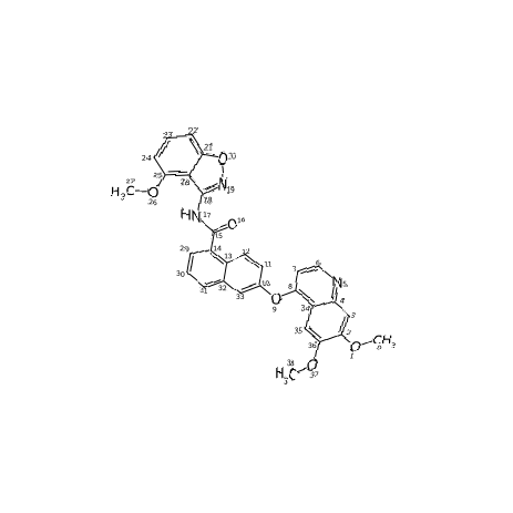 COc1cc2nccc(Oc3ccc4c(C(=O)Nc5noc6cccc(OC)c56)cccc4c3)c2cc1OC